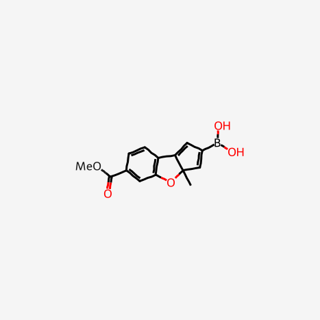 COC(=O)c1ccc2c(c1)OC1(C)C=C(B(O)O)C=C21